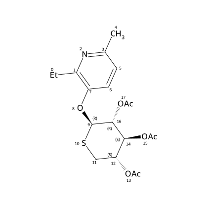 CCc1nc(C)ccc1O[C@@H]1SC[C@@H](OC(C)=O)[C@H](OC(C)=O)[C@H]1OC(C)=O